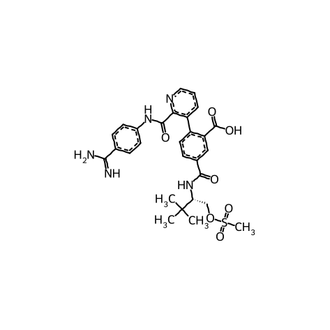 CC(C)(C)[C@@H](COS(C)(=O)=O)NC(=O)c1ccc(-c2cccnc2C(=O)Nc2ccc(C(=N)N)cc2)c(C(=O)O)c1